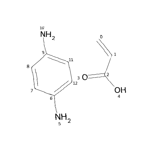 C=CC(=O)O.Nc1ccc(N)cc1